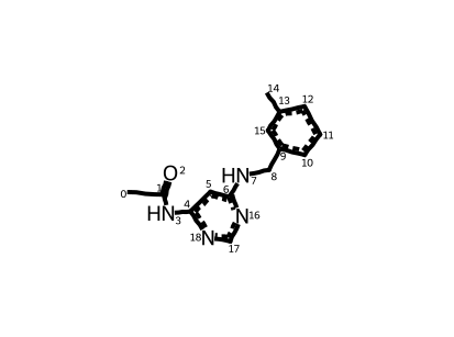 CC(=O)Nc1cc(NCc2cccc(C)c2)ncn1